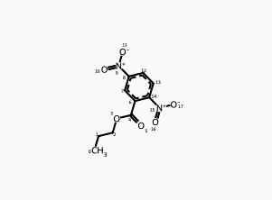 CCCOC(=O)c1cc([N+](=O)[O-])ccc1[N+](=O)[O-]